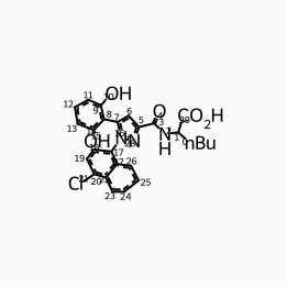 CCCCC(NC(=O)c1cc(-c2c(O)cccc2O)n(-c2ccc(Cl)c3ccccc23)n1)C(=O)O